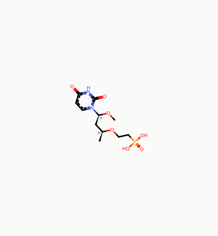 CO[C@@H](C[C@H](C)OCCP(=O)(O)O)n1ccc(=O)[nH]c1=O